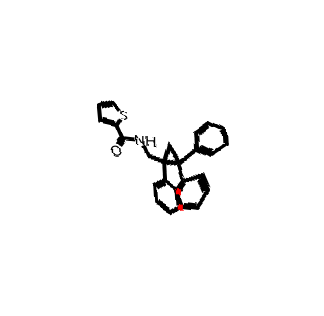 O=C(NCC1(c2ccccc2)CC1(c1ccccc1)c1ccccc1)c1cccs1